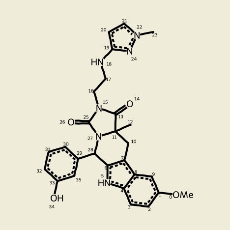 COc1ccc2[nH]c3c(c2c1)CC1(C)C(=O)N(CCNc2ccn(C)n2)C(=O)N1C3c1cccc(O)c1